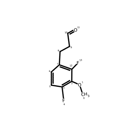 COc1c(F)ccc(CCC=O)c1F